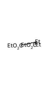 CCOC(=O)CCCCCCCCCCCC(CC)C(CC)C(=O)OCC